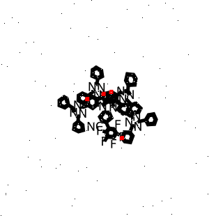 N#Cc1cc(-n2c3cc(-c4nc(-c5ccccc5)nc(-c5ccccc5)n4)ccc3c3ccc(-c4nc(-c5ccccc5)nc(-c5ccccc5)n4)cc32)c(-n2c3cc(-c4nc(-c5ccccc5)nc(-c5ccccc5)n4)ccc3c3ccc(-c4nc(-c5ccccc5)nc(-c5ccccc5)n4)cc32)cc1-c1c(F)c(F)c(F)c(F)c1F